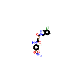 Cc1c(Cl)cccc1CNC(=O)SCC(=O)Nc1ccc(S(N)(=O)=O)cc1Cl